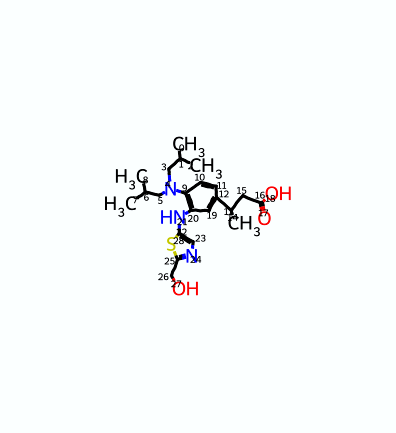 CC(C)CN(CC(C)C)c1ccc(C(C)CC(=O)O)cc1Nc1cnc(CO)s1